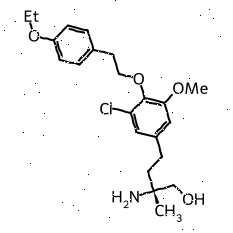 CCOc1ccc(CCOc2c(Cl)cc(CC[C@@](C)(N)CO)cc2OC)cc1